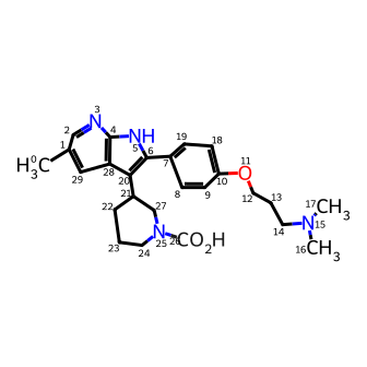 Cc1cnc2[nH]c(-c3ccc(OCCCN(C)C)cc3)c(C3CCCN(C(=O)O)C3)c2c1